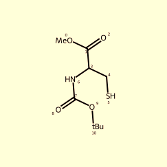 COC(=O)C(CS)NC(=O)OC(C)(C)C